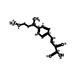 COCCN(C)c1ncc(C=CC(=O)C(=O)O)cn1